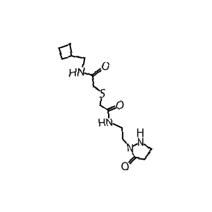 O=C(CSCC(=O)NCC1CCC1)NCCN1NCCC1=O